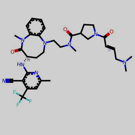 Cc1cc(C(F)(F)F)c(C#N)c(N[C@H]2CCN(CCN(C)C(=O)C3CCN(C(=O)/C=C/CN(C)C)C3)c3ccccc3N(C)C2=O)n1